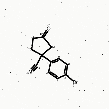 N#CC1(c2ccc(Br)cc2)CCC(=O)C1